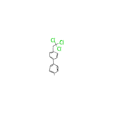 ClC(Cl)(Cl)Cc1ccc(-c2cc[c]cc2)cc1